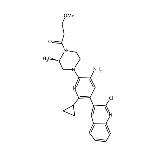 COCCC(=O)N1CCN(c2nc(C3CC3)c(-c3cc4ccccc4nc3Cl)cc2N)C[C@H]1C